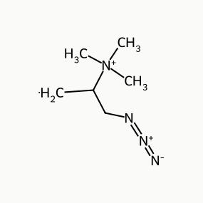 [CH2]C(CN=[N+]=[N-])[N+](C)(C)C